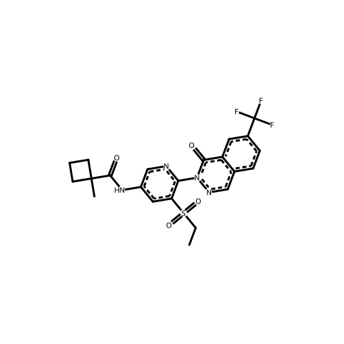 CCS(=O)(=O)c1cc(NC(=O)C2(C)CCC2)cnc1-n1ncc2ccc(C(F)(F)F)cc2c1=O